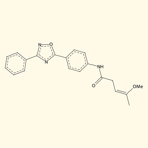 CO/C(C)=C\CC(=O)Nc1ccc(-c2nc(-c3ccccc3)no2)cc1